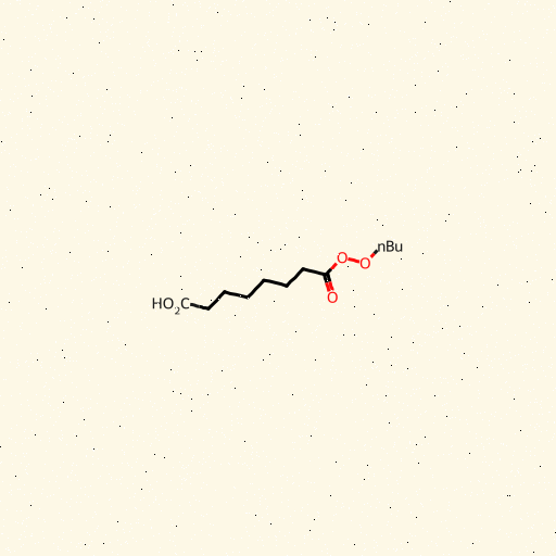 CCCCOOC(=O)CCCCCCC(=O)O